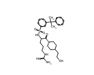 CC(C)(c1ccccc1)c1cccc(S(=O)(=O)NC(CCCNC(=N)N)C(=O)N2CCC(CCO)CC2)c1